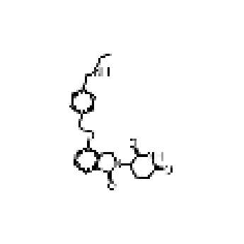 CCNCc1ccc(COc2cccc3c2CN(C2CCC(=O)NC2=O)C3=O)cc1